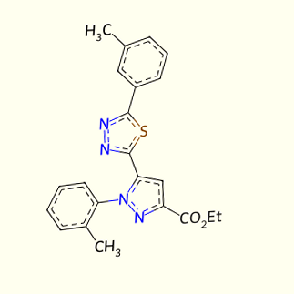 CCOC(=O)c1cc(-c2nnc(-c3cccc(C)c3)s2)n(-c2ccccc2C)n1